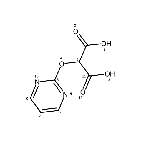 O=C(O)C(Oc1ncccn1)C(=O)O